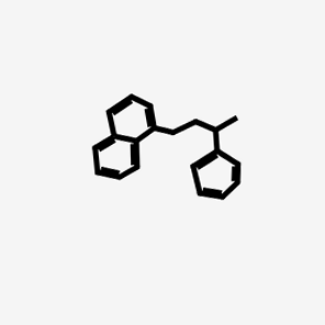 CC(CCc1cccc2ccccc12)c1ccccc1